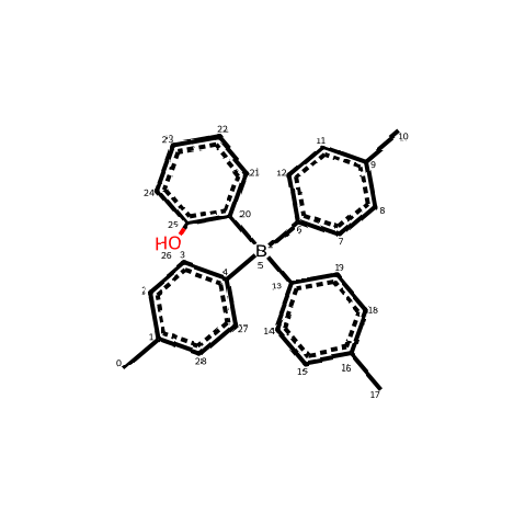 Cc1ccc([B-](c2ccc(C)cc2)(c2ccc(C)cc2)c2ccccc2O)cc1